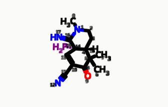 CN1CC[C@@H]2C(C)(C)C(=O)C(C#N)=C[C@@]2(P)C1=N